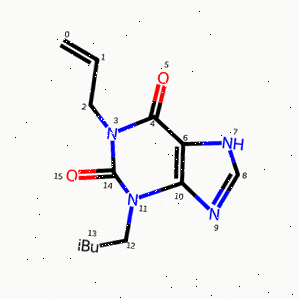 C=CCn1c(=O)c2[nH]cnc2n(CC(C)CC)c1=O